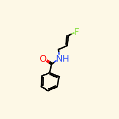 O=C(NCC=CF)c1ccccc1